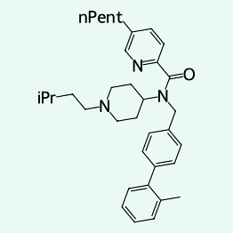 CCCCCc1ccc(C(=O)N(Cc2ccc(-c3ccccc3C)cc2)C2CCN(CCC(C)C)CC2)nc1